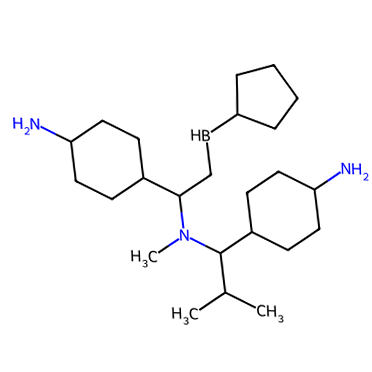 CC(C)C(C1CCC(N)CC1)N(C)C(CBC1CCCC1)C1CCC(N)CC1